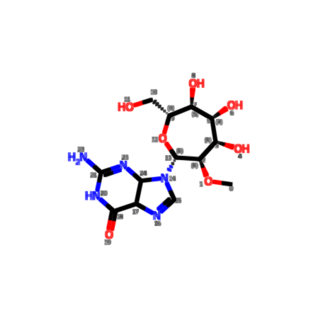 CO[C@@H]1[C@H](O)[C@H](O)[C@H](O)[C@@H](CO)O[C@H]1N1C=NC2C(=O)NC(N)=NC21